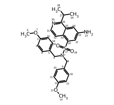 COc1ccc(CN(Cc2ccc(OC)cc2)S(=O)(=O)c2cc(N)cc3c(C(C)C)nccc23)cc1